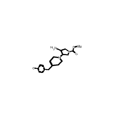 CC(C)(C)OC(=O)N1CC(N)C(N2CCC(Cc3ccc(Cl)cc3)CC2)C1